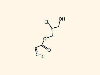 C=CC(=O)OCC(Cl)CO